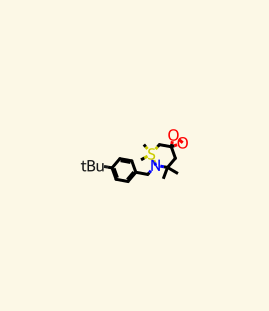 CC(C)(C)c1ccc(CN2C(C)(C)CC3(CS2(C)C)OO3)cc1